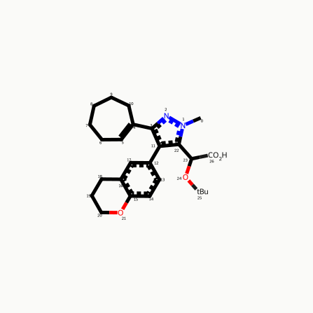 Cn1nc(C2=CCCCCC2)c(-c2ccc3c(c2)CCCO3)c1C(OC(C)(C)C)C(=O)O